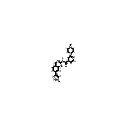 CN1CCN(c2cc(C(=O)Nc3ncc4ccc(-c5cn(C)nn5)cc4n3)ccn2)CC1